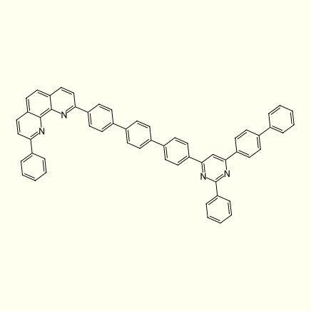 c1ccc(-c2ccc(-c3cc(-c4ccc(-c5ccc(-c6ccc(-c7ccc8ccc9ccc(-c%10ccccc%10)nc9c8n7)cc6)cc5)cc4)nc(-c4ccccc4)n3)cc2)cc1